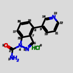 Cl.NC(=O)n1ncc2c(-c3cccnc3)cccc21